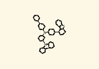 c1ccc(-c2ccc(N(c3ccc(-c4cccc5sc6ccccc6c45)cc3)c3cccc(-n4c5ccccc5c5ccccc54)c3)cc2)cc1